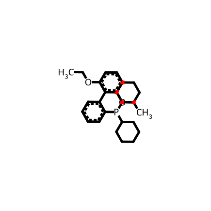 CCOc1cccc(OCC)c1-c1ccccc1P(C1CCCCC1)C1CCCCC1